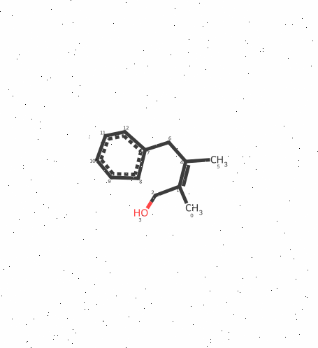 CC(CO)=C(C)Cc1ccccc1